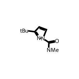 CNC(=O)n1ccc(C(C)(C)C)n1